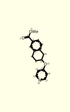 COC(=O)c1ccc2c(c1)CCC(Oc1ccncc1)C2